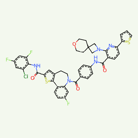 O=C(Nc1c(F)cc(F)cc1Cl)c1cc2c(s1)-c1ccc(F)cc1N(C(=O)c1ccc(NC(=O)c3ccc(-c4cccs4)nc3N3CC4(CCOCC4)C3)cc1)CC2